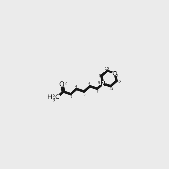 CC(=O)CCCCCN1CCOCC1